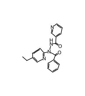 CCc1ccc(N(NC(=O)c2cccnc2)C(=O)c2ccccc2)nc1